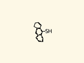 Sc1c2c(cc3ccccc13)CCC=C2